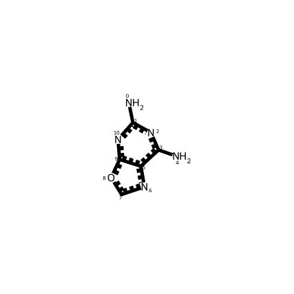 Nc1nc(N)c2ncoc2n1